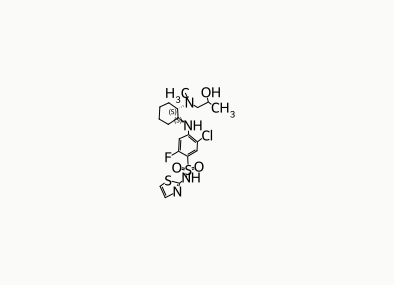 CC(O)CN(C)[C@H]1CCCC[C@@H]1Nc1cc(F)c(S(=O)(=O)Nc2nccs2)cc1Cl